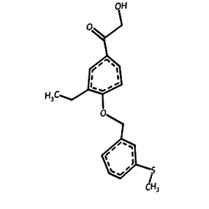 CCc1cc(C(=O)CO)ccc1OCc1cccc(SC)c1